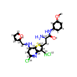 COc1cccc(NC(=O)[C@H](N)Cc2sc3c(NCc4ccco4)cc(Cl)nc3c2C)c1.Cl